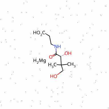 CC(C)(CO)[C@@H](O)C(=O)NCCC(=O)O.[MgH2]